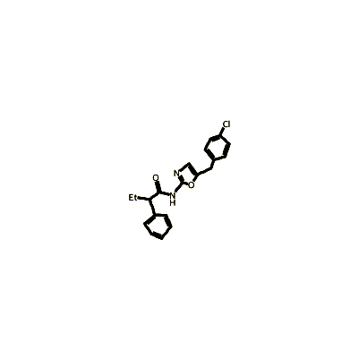 CCC(C(=O)Nc1ncc(Cc2ccc(Cl)cc2)o1)c1ccccc1